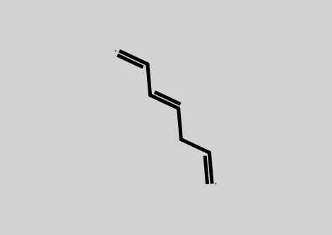 [CH]=CC=CCC=[CH]